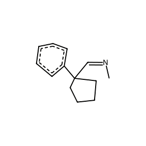 C/N=C\C1(c2ccccc2)CCCC1